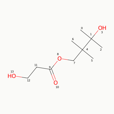 CC(C)(O)C(C)(C)COC(=O)CCO